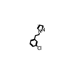 Clc1cccc(CCn2c[c]cn2)c1